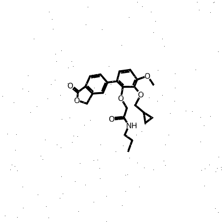 CCCNC(=O)COc1c(-c2ccc3c(c2)COC3=O)ccc(OC)c1OCC1CC1